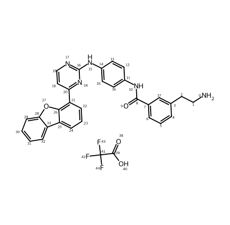 NCCc1cccc(C(=O)Nc2ccc(Nc3nccc(-c4cccc5c4oc4ccccc45)n3)cc2)c1.O=C(O)C(F)(F)F